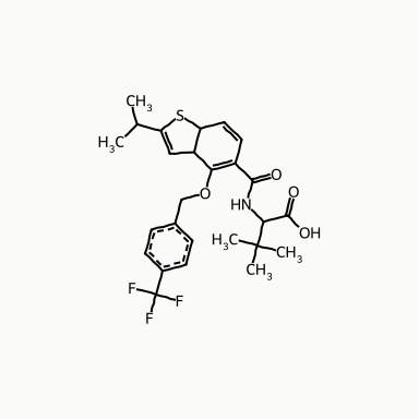 CC(C)C1=CC2C(OCc3ccc(C(F)(F)F)cc3)=C(C(=O)NC(C(=O)O)C(C)(C)C)C=CC2S1